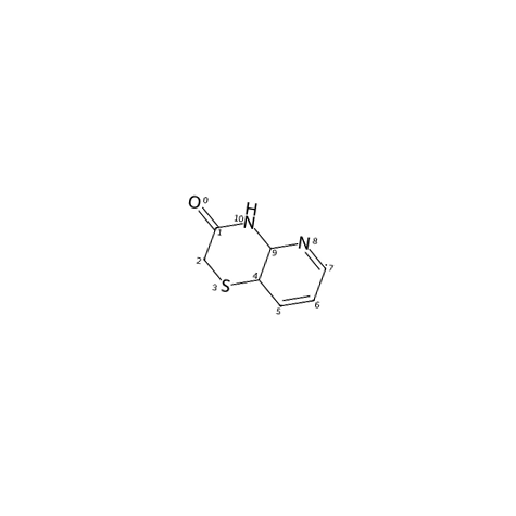 O=C1CSC2C=C[C]=NC2N1